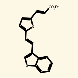 CCOC(=O)C=Cc1ccc(C=Cc2csc3ccccc23)s1